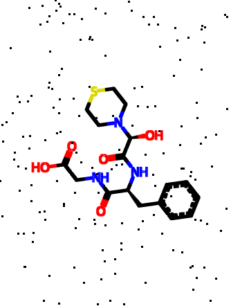 O=C(O)CNC(=O)[C@H](Cc1ccccc1)NC(=O)[C@H](O)N1CCSCC1